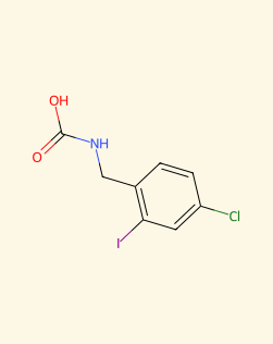 O=C(O)NCc1ccc(Cl)cc1I